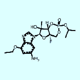 CCOc1cc(N)cc2c1ncn2[C@@H]1O[C@]2(F)COP(=O)(OC(C)C)O[C@H]2[C@@]1(C)O